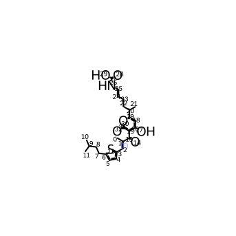 C/C(=C\c1ccc(CCC(C)C)s1)C(=O)c1c(O)cc(C(C)CCC=CNC(=O)O)oc1=O